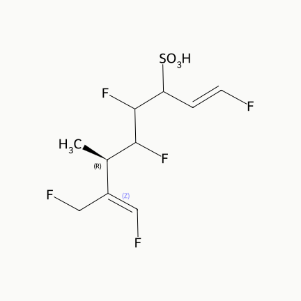 C[C@H](/C(=C/F)CF)C(F)C(F)C(C=CF)S(=O)(=O)O